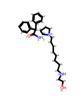 NC(=O)C(c1ccccc1)(c1ccccc1)[C@@H]1CCN(CCCCCCCCNCCO)C1